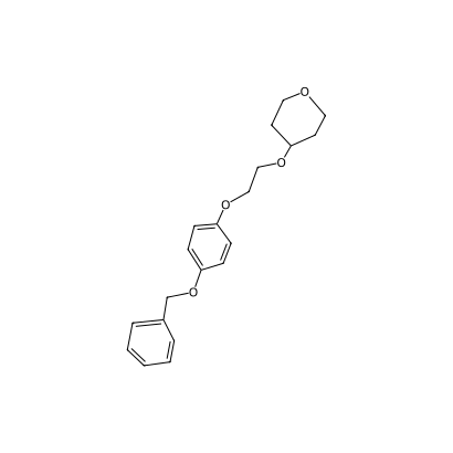 c1ccc(COc2ccc(OCCOC3CCOCC3)cc2)cc1